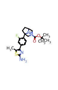 Cc1sc(N)nc1-c1ccc(C23CCC(CN(C(=O)OC(C)(C)C)C2)N3)c(F)c1